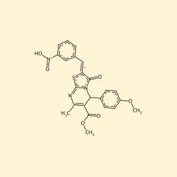 COC(=O)C1=C(C)N=c2s/c(=C\c3cccc([N+](=O)O)c3)c(=O)n2C1c1ccc(OC)cc1